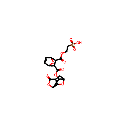 O=C1OC2C(OC(=O)C3C4C=CC(O4)C3C(=O)OCCS(=O)(=O)O)C3CC1C2O3